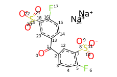 O=C(c1ccc(F)c(S(=O)(=O)[O-])c1)c1ccc(F)c(S(=O)(=O)[O-])c1.[Na+].[Na+]